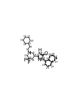 O=c1[nH]c(C2CN(CCC3CCCCC3)CC(F)(F)C2)nn1-c1cccc2cnccc12